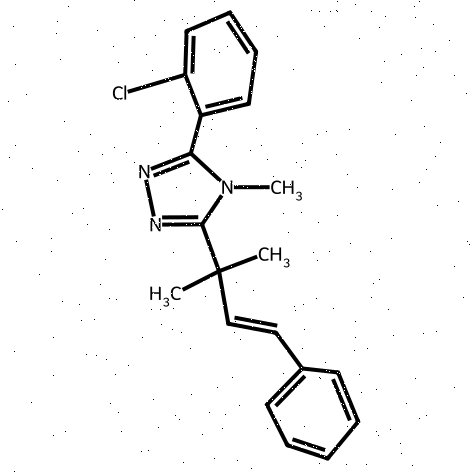 Cn1c(-c2ccccc2Cl)nnc1C(C)(C)C=Cc1ccccc1